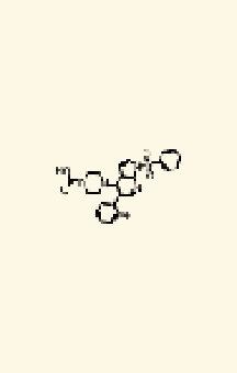 O=C(O)N1CCN(c2c(-c3ccccc3F)cnc3c2ccn3S(=O)(=O)c2ccccc2)CC1